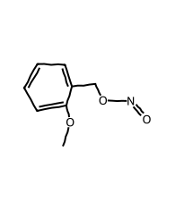 COc1ccccc1CON=O